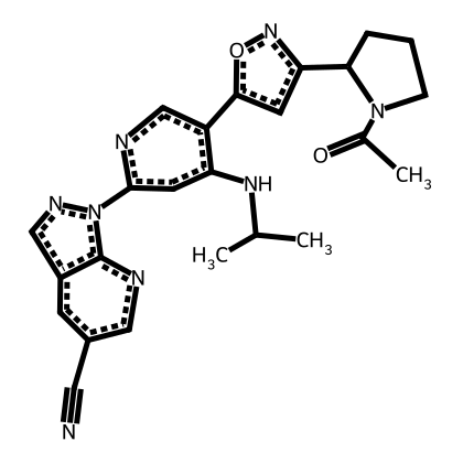 CC(=O)N1CCCC1c1cc(-c2cnc(-n3ncc4cc(C#N)cnc43)cc2NC(C)C)on1